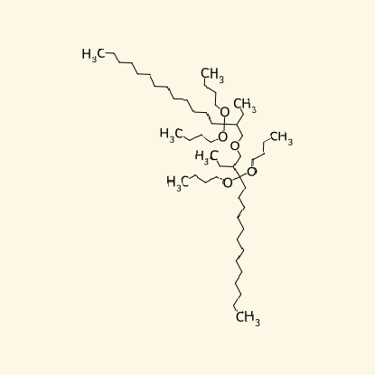 CCCCCCCCCCCCCC(OCCCC)(OCCCC)C(CC)COCC(CC)C(CCCCCCCCCCCCC)(OCCCC)OCCCC